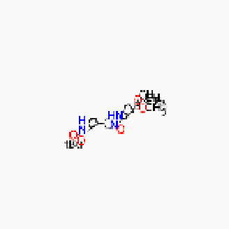 CC(C)(C)OC(=O)NCc1cccc(C2CCN(C(=O)c3cc4cc(B5OC(C)(C)C(C)(C)O5)ccc4[nH]3)CC2)c1